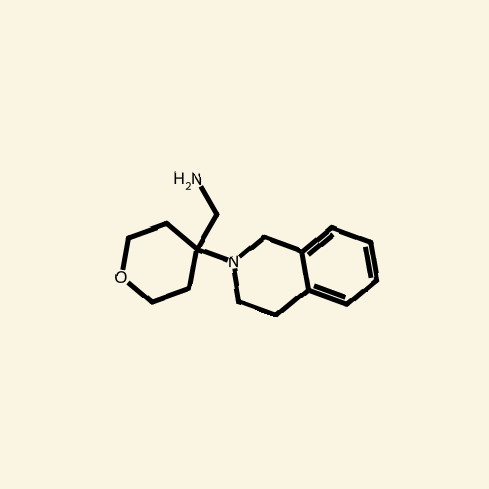 NCC1(N2CCc3ccccc3C2)CCOCC1